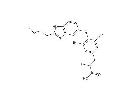 CSCCc1nc2cc(Oc3c(Br)cc(CC(F)C(=O)O)cc3Br)ccc2[nH]1